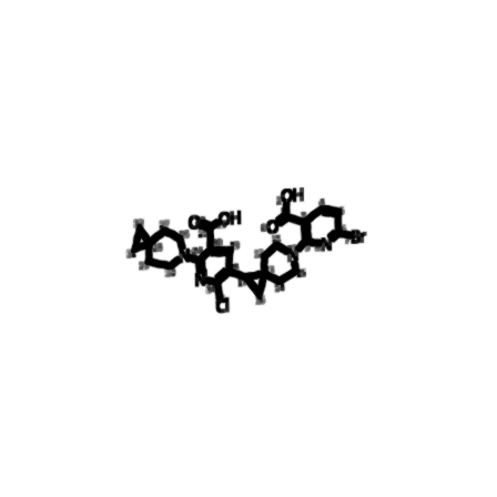 O=C(O)c1ccc(Br)nc1N1CCC2(CC1)CC2c1cc(C(=O)O)c(N2CCC3(CC2)CC3)nc1Cl